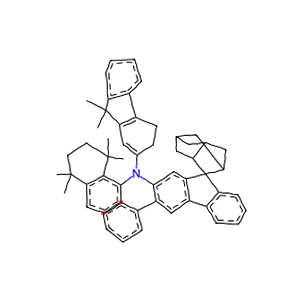 CC1(C)CCC(C)(C)c2c(N(C3=CC4=C(CC3)c3ccccc3C4(C)C)c3cc4c(cc3-c3ccccc3)-c3ccccc3C43C4CC5CC(C4)C3C5)cccc21